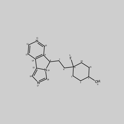 OC1CCC(F)(CCC2c3cnccc3-c3cncn32)CC1